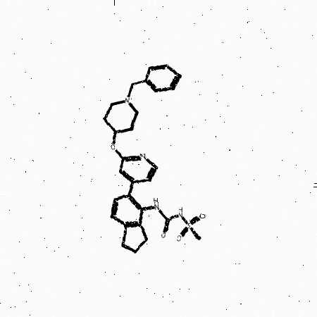 CS(=O)(=O)NC(=O)Nc1c(-c2ccnc(OC3CCN(Cc4ccccc4)CC3)c2)ccc2c1CCC2